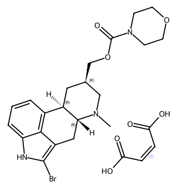 CN1C[C@H](COC(=O)N2CCOCC2)C[C@@H]2c3cccc4[nH]c(Br)c(c34)C[C@H]21.O=C(O)/C=C\C(=O)O